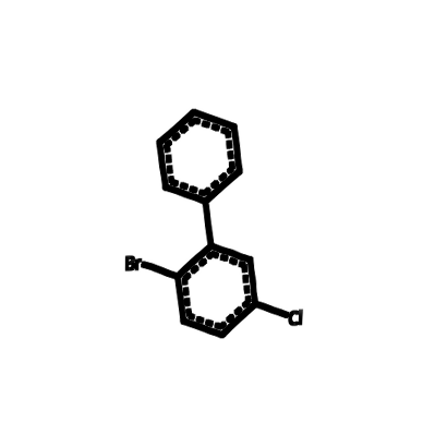 Clc1ccc(Br)c(-c2ccccc2)c1